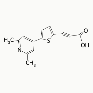 Cc1cc(-c2ccc(C#CC(=O)O)s2)cc(C)n1